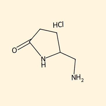 Cl.NCC1CCC(=O)N1